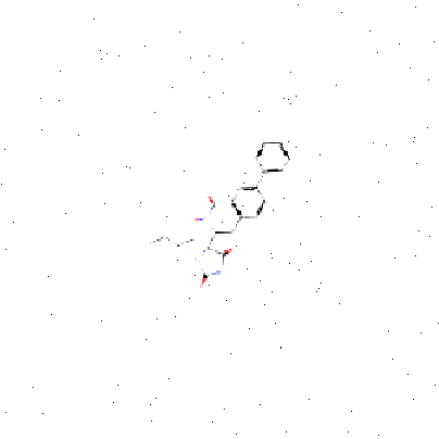 CCCC[C@@]1(C(Cc2ccc(-c3ccccc3)cc2)N(O)C=O)NC(=O)NC1=O